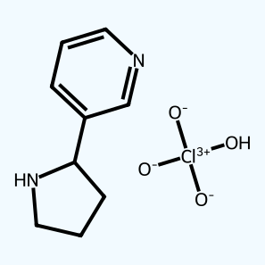 [O-][Cl+3]([O-])([O-])O.c1cncc(C2CCCN2)c1